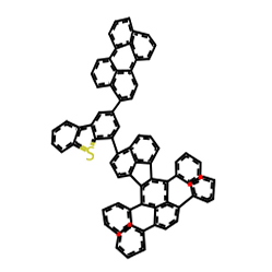 c1ccc(-c2ccc(-c3ccccc3)c3c(-c4ccccc4)c4c(c(-c5ccccc5)c23)-c2cccc3c(-c5cc(-c6ccc7c8cccc9cccc(c%10cccc6c%107)c98)cc6c5sc5ccccc56)ccc-4c23)cc1